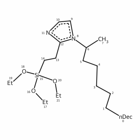 CCCCCCCCCCCCCCCC(C)n1ccnc1CC[Si](OCC)(OCC)OCC